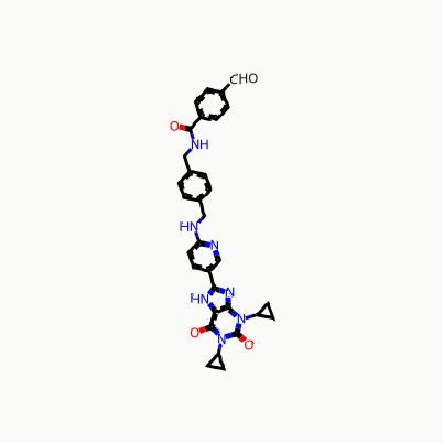 O=Cc1ccc(C(=O)NCc2ccc(CNc3ccc(-c4nc5c([nH]4)c(=O)n(C4CC4)c(=O)n5C4CC4)cn3)cc2)cc1